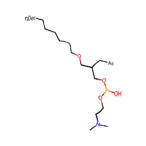 CCCCCCCCCCCCCCCCOCC(COP(O)OCCN(C)C)CC(C)=O